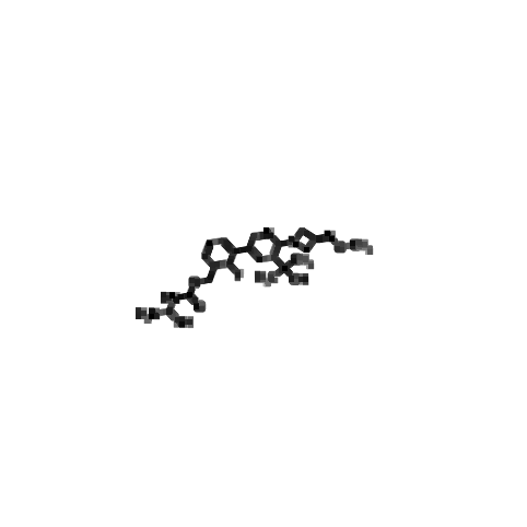 CON=C1CN(c2ncc(-c3cccc(COC(=O)NC(=N)N)c3F)cc2C(C)(C)O)C1